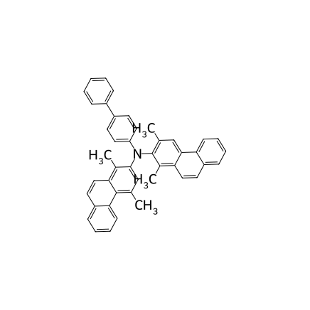 Cc1cc2c(ccc3ccccc32)c(C)c1N(c1ccc(-c2ccccc2)cc1)c1cc(C)c2c(ccc3ccccc32)c1C